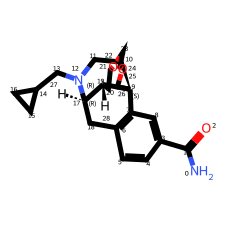 NC(=O)c1ccc2c(c1)[C@]13CCN(CC4CC4)[C@H](C2)[C@@H]1CCOCCOC3